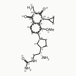 COc1c(N2CC[C@@H]([C@H](N)CNC(N)=O)C2)ccc2c(=O)n(N)c(=O)n(C3CC3)c12